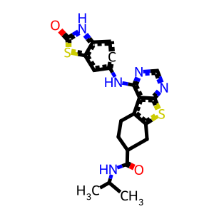 CC(C)NC(=O)C1CCc2c(sc3ncnc(Nc4ccc5[nH]c(=O)sc5c4)c23)C1